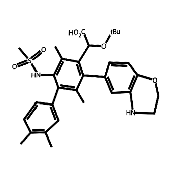 Cc1ccc(-c2c(C)c(-c3ccc4c(c3)NCCO4)c(C(OC(C)(C)C)C(=O)O)c(C)c2NS(C)(=O)=O)cc1C